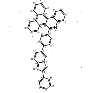 c1ccc(-c2cn3cc(-c4ccc(-c5nc6ccccc6c6c7ccccc7c7ccccc7c56)cc4)ccc3n2)cc1